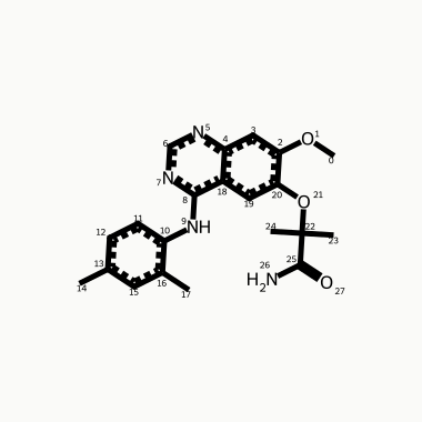 COc1cc2ncnc(Nc3ccc(C)cc3C)c2cc1OC(C)(C)C(N)=O